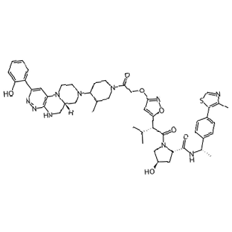 Cc1ncsc1-c1ccc([C@H](C)NC(=O)[C@@H]2C[C@@H](O)CN2C(=O)[C@@H](c2cc(OCC(=O)N3CCC(N4CCN5c6cc(-c7ccccc7O)nnc6NC[C@H]5C4)C(C)C3)no2)C(C)C)cc1